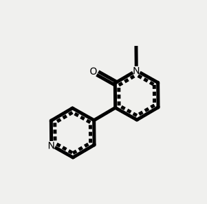 Cn1cccc(-c2ccncc2)c1=O